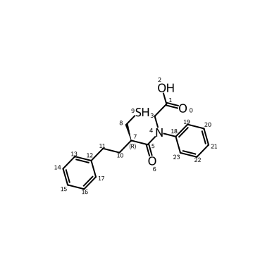 O=C(O)CN(C(=O)[C@H](CS)CCc1ccccc1)c1ccccc1